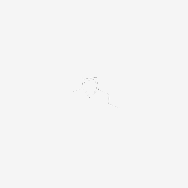 CCNCc1cnn(C)c1